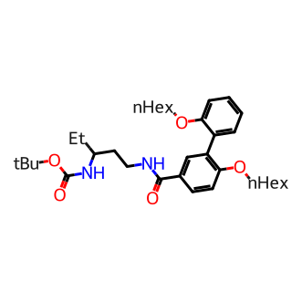 CCCCCCOc1ccccc1-c1cc(C(=O)NCCC(CC)NC(=O)OC(C)(C)C)ccc1OCCCCCC